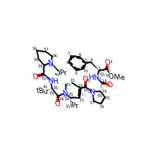 COC(=O)[C@H](Cc1ccccc1)NC(=O)[C@@H]1CCCN1C(=O)/C(C)=C/[C@H](C(C)C)N(C)C(=O)[C@@H](NC(=O)C1CCCCN1C(C)C)C(C)(C)C